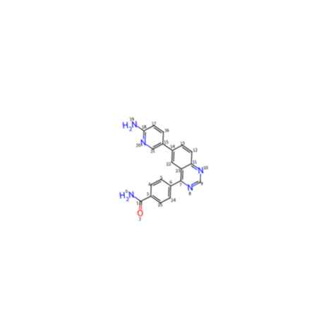 NC(=O)c1ccc(-c2ncnc3ccc(-c4ccc(N)nc4)cc23)cc1